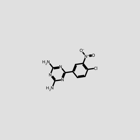 Nc1nc(N)nc(-c2ccc(Cl)c([N+](=O)[O-])c2)n1